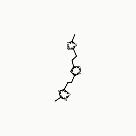 Cc1nsc(CCc2cc(CCc3noc(C)n3)sn2)n1